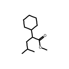 COC(=O)C(CC(C)C)C1CCCCC1